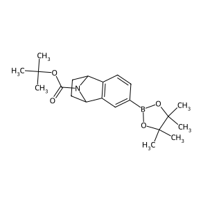 CC(C)(C)OC(=O)N1C2CCC1c1cc(B3OC(C)(C)C(C)(C)O3)ccc12